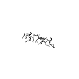 CCC(CC)NS(=O)(=O)c1ccc(NC(=O)c2ccc(OC)c(I)c2)cc1